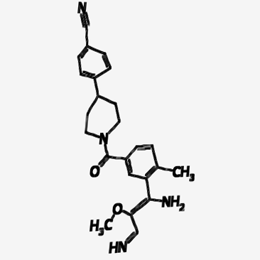 CO/C(C=N)=C(/N)c1cc(C(=O)N2CCC(c3ccc(C#N)cc3)CC2)ccc1C